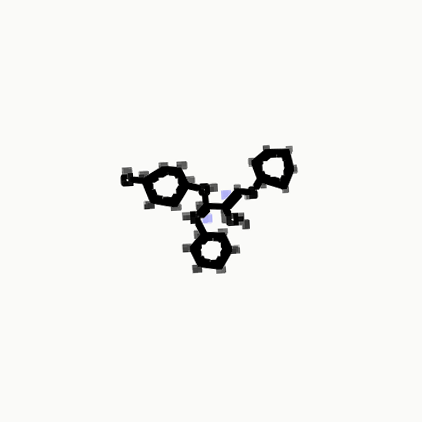 CC(=C\Sc1ccccc1)/C(=N\c1ccccc1)Oc1ccc(Cl)cc1